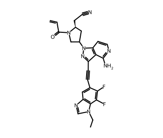 C=CC(=O)N1CC(n2nc(C#Cc3cc4ncn(CC)c4c(F)c3F)c3c(N)nccc32)C[C@@H]1CC#N